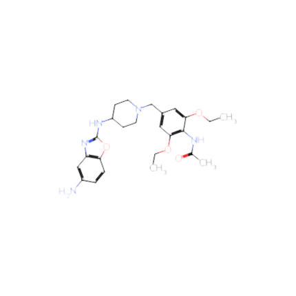 CCOc1cc(CN2CCC(Nc3nc4cc(N)ccc4o3)CC2)cc(OCC)c1NC(C)=O